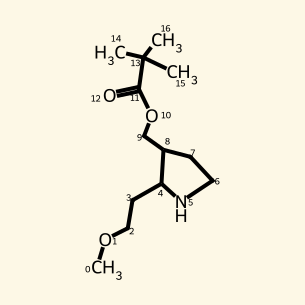 COCCC1NCCC1COC(=O)C(C)(C)C